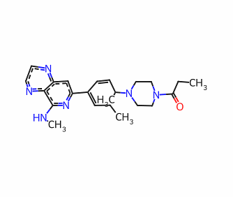 CC/C=C(\C=C/C(C)N1CCN(C(=O)CC)CC1)c1cc2nccnc2c(NC)n1